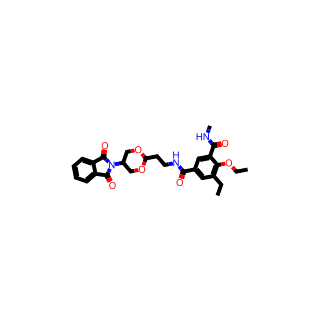 CCOc1c(CC)cc(C(=O)NCCC2OCC(N3C(=O)c4ccccc4C3=O)CO2)cc1C(=O)NC